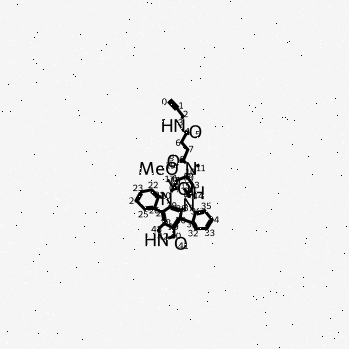 C#CCNC(=O)CCC(=O)N(C)[C@@H]1C[C@H]2O[C@@](C)([C@@H]1OC)n1c3ccccc3c3c4c(c5c6ccccc6n2c5c31)C(=O)NC4